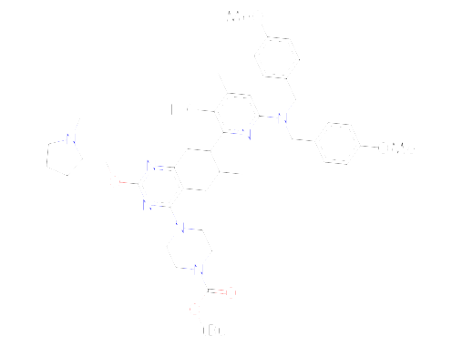 COc1ccc(CN(Cc2ccc(OC)cc2)c2cc(C)c(C(F)(F)F)c(C3Cc4nc(OC[C@@H]5CCCN5C)nc(N5CCN(C(=O)OC(C)(C)C)CC5)c4CC3C)n2)cc1